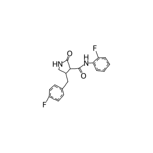 O=C1NCC(Cc2ccc(F)cc2)C1C(=O)Nc1ccccc1F